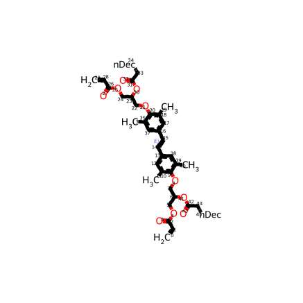 C=CC(=O)OCC(COc1c(C)cc(/C=C/c2cc(C)c(OCC(COC(=O)C=C)OC(=O)CCCCCCCCCCC)c(C)c2)cc1C)OC(=O)CCCCCCCCCCC